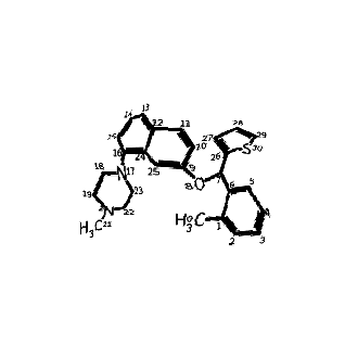 Cc1ccccc1C(Oc1ccc2cccc(N3CCN(C)CC3)c2c1)c1cccs1